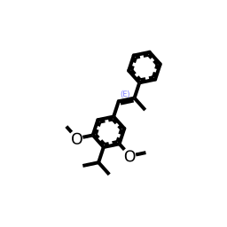 COc1cc(/C=C(\C)c2ccccc2)cc(OC)c1C(C)C